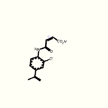 C=C(C)c1ccc(NC(=O)/C=C\C(=O)O)c(Cl)c1